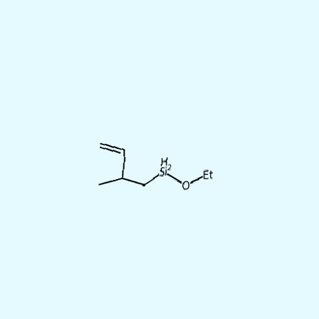 C=CC(C)C[SiH2]OCC